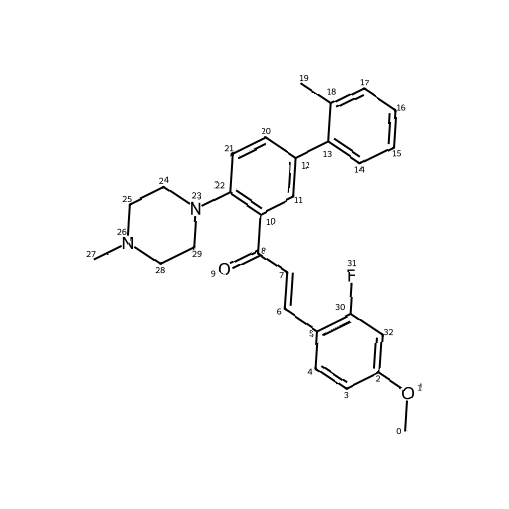 COc1ccc(C=CC(=O)c2cc(-c3ccccc3C)ccc2N2CCN(C)CC2)c(F)c1